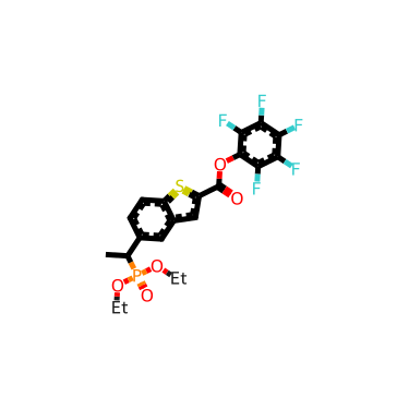 CCOP(=O)(OCC)C(C)c1ccc2sc(C(=O)Oc3c(F)c(F)c(F)c(F)c3F)cc2c1